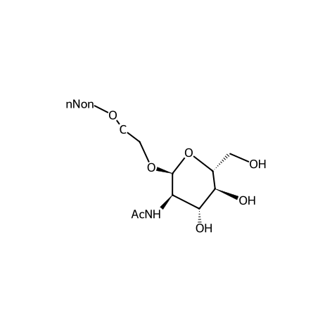 CCCCCCCCCOCCO[C@H]1O[C@H](CO)[C@@H](O)[C@H](O)[C@H]1NC(C)=O